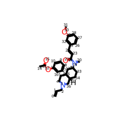 C=CCN1CC[C@@]2(c3cccc(OC(C)=O)c3)C[C@H](N(C)C(=O)C=Cc3cccc(OC)c3)CC[C@@H]2C1